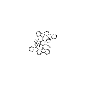 CC1(C)c2c(-n3c4ccccc4c4ccc5c(c43)C3(CCCC3)c3ccccc3-5)c(C#N)c(C#N)c(-n3c4ccccc4c4ccc5c(c43)C3(CCCC3)c3ccccc3-5)c2C(C)(C)C1(C)C